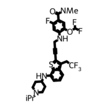 CNC(=O)c1cc(OC(F)F)c(NCC#Cc2sc3c(NC4CCN(C(C)C)CC4)cccc3c2CC(F)(F)F)cc1F